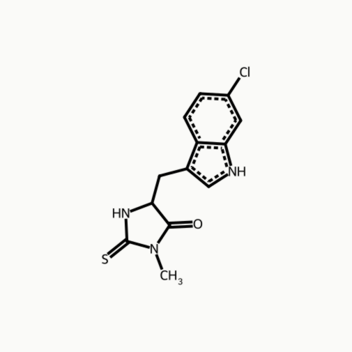 CN1C(=O)C(Cc2c[nH]c3cc(Cl)ccc23)NC1=S